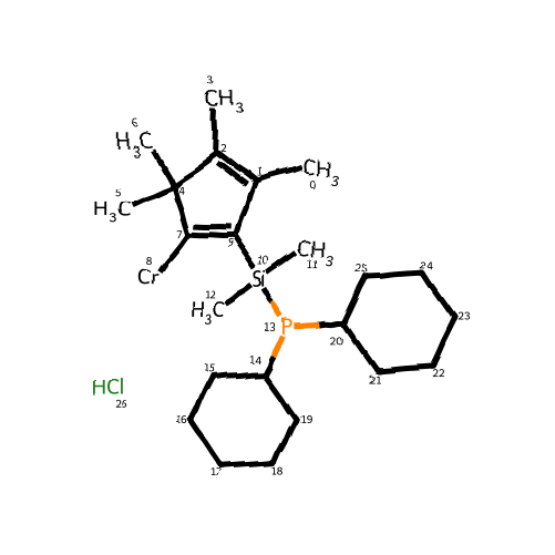 CC1=C(C)C(C)(C)[C]([Cr])=C1[Si](C)(C)P(C1CCCCC1)C1CCCCC1.Cl